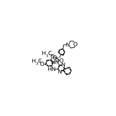 COc1cc(Nc2nc3ccccc3nc2NS(=O)(=O)c2ccc(CN3CCOCC3)cc2)cc(OC)c1